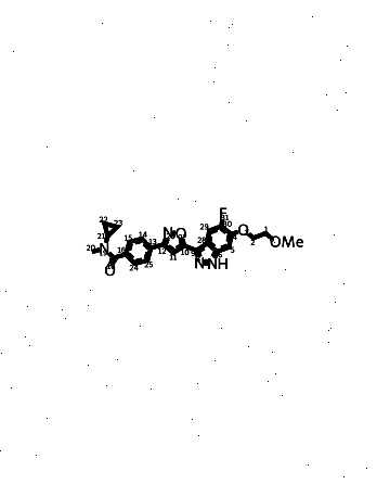 COCCOc1cc2[nH]nc(-c3cc(-c4ccc(C(=O)N(C)C5CC5)cc4)no3)c2cc1F